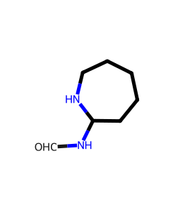 O=CNC1CCCCCN1